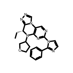 CC[C@@H]1c2nncn2-c2cnc(-n3ccnc3-c3ccccc3)nc2N1C1CCOC1